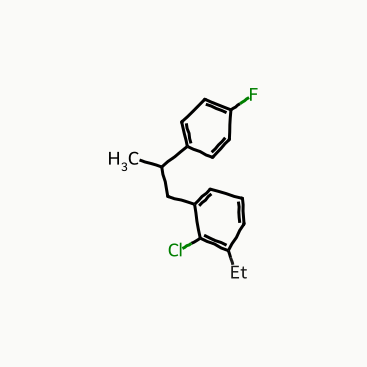 CCc1cccc(CC(C)c2ccc(F)cc2)c1Cl